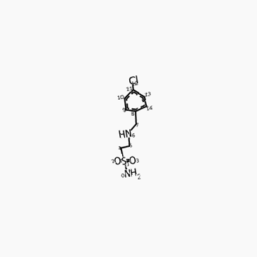 NS(=O)(=O)CCNCc1ccc(Cl)cc1